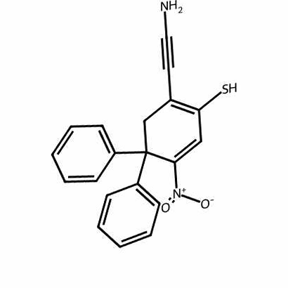 NC#CC1=C(S)C=C([N+](=O)[O-])C(c2ccccc2)(c2ccccc2)C1